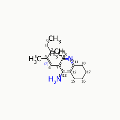 CCC(C)/C(C)=C\c1c(C)nc2c(c1N)CCCC2